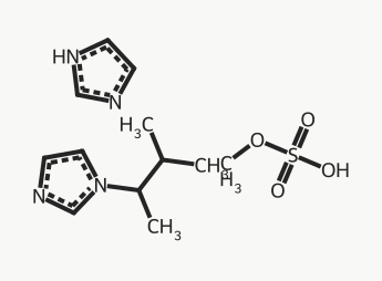 CC(C)C(C)n1ccnc1.COS(=O)(=O)O.c1c[nH]cn1